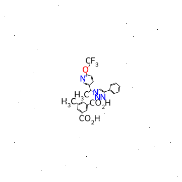 CC(c1ccc(OCC(F)(F)F)nc1)n1cc(-c2ccccc2)nn1.Cc1cc(C(=O)O)cc(C(=O)O)c1